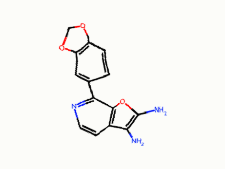 Nc1oc2c(-c3ccc4c(c3)OCO4)nccc2c1N